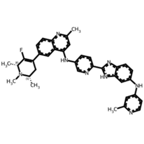 Cc1cc(Nc2ccc3nc(-c4ccc(Nc5cc(C)nc6ccc(C7=C(F)[C@@H](C)N(C)[C@@H](C)C7)cc56)cn4)[nH]c3c2)ccn1